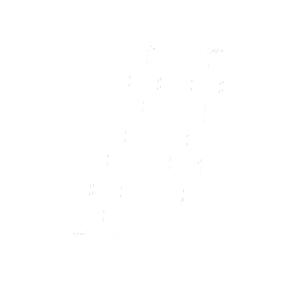 COC(=O)c1ccc(CC(/C=C/c2cc(F)ccc2CCc2ccc(OC)cc2)CCc2ccc(C#N)cc2)cc1